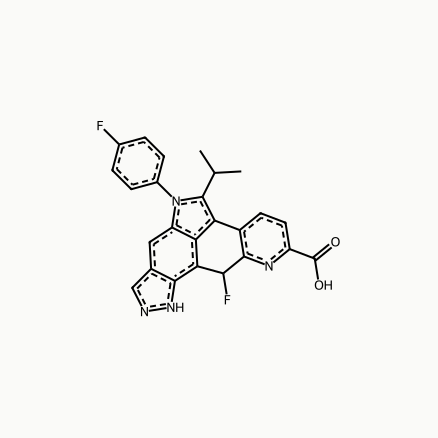 CC(C)c1c2c3c(c4[nH]ncc4cc3n1-c1ccc(F)cc1)C(F)c1nc(C(=O)O)ccc1-2